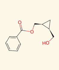 O=C(OC[C@H]1C[C@H]1CO)c1ccccc1